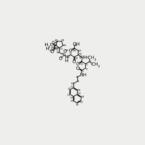 CC(C)C(CC(=O)NCCCc1ccc2ccccc2c1)C(=O)NC(CC(=O)O)C(=O)CNS(=O)(=O)CC12CCC(CC1=O)C2(C)C